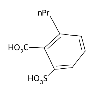 CCCc1cccc(S(=O)(=O)O)c1C(=O)O